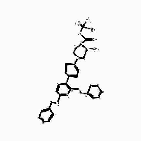 C[C@H]1CN(c2ccc(-c3ccc(OCc4ccccc4)nc3OCc3ccccc3)cc2)CCN1C(=O)OC(C)(C)C